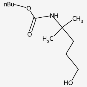 CCCCOC(=O)NC(C)(C)CCCO